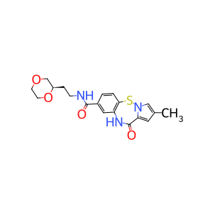 Cc1cc2n(c1)Sc1ccc(C(=O)NCC[C@@H]3COCCO3)cc1NC2=O